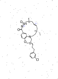 CC[C@H]1C/C=C/C[C@H](C)C/[SH](=O)=N\C(=O)c2ccc3c(c2)N(CC1)C[C@@H](CCCc1cccc(Cl)c1)CO3